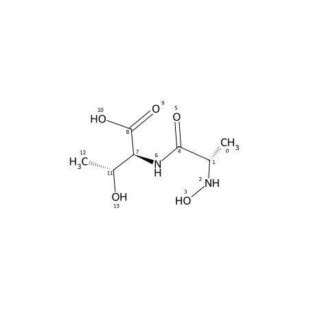 C[C@H](NO)C(=O)N[C@H](C(=O)O)[C@@H](C)O